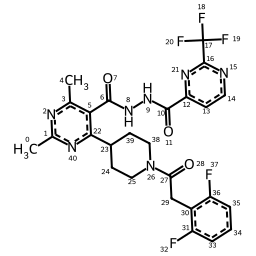 Cc1nc(C)c(C(=O)NNC(=O)c2ccnc(C(F)(F)F)n2)c(C2CCN(C(=O)Cc3c(F)cccc3F)CC2)n1